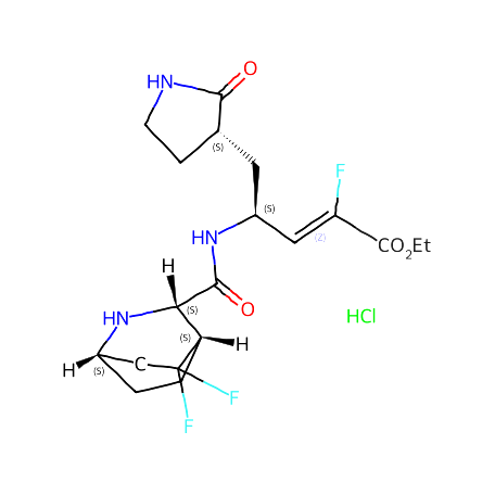 CCOC(=O)/C(F)=C/[C@H](C[C@@H]1CCNC1=O)NC(=O)[C@H]1N[C@H]2CC[C@@H]1C(F)(F)C2.Cl